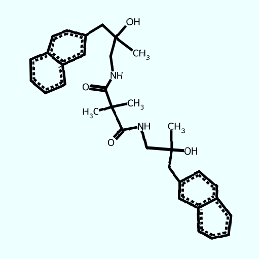 CC(O)(CNC(=O)C(C)(C)C(=O)NCC(C)(O)Cc1ccc2ccccc2c1)Cc1ccc2ccccc2c1